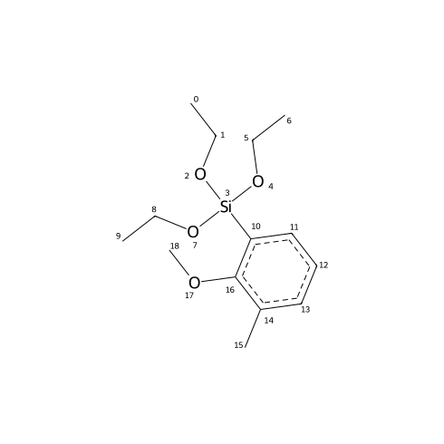 CCO[Si](OCC)(OCC)c1cccc(C)c1OC